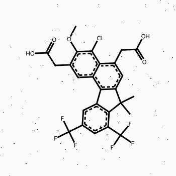 COc1c(CC(=O)O)cc2c3c(cc(CC(=O)O)c2c1Cl)C(C)(C)c1c-3cc(C(F)(F)F)cc1C(F)(F)F